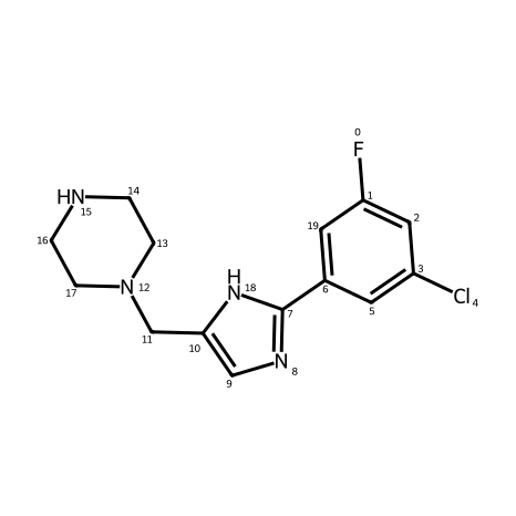 Fc1cc(Cl)cc(-c2ncc(CN3CCNCC3)[nH]2)c1